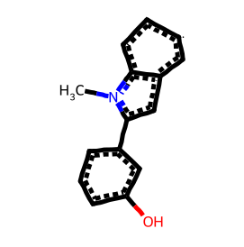 Cn1c(-c2cccc(O)c2)cc2c[c]ccc21